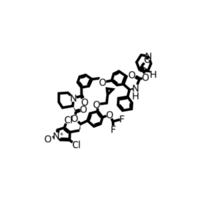 O=C(N[C@@H](c1ccccc1)c1cccc(OCc2cccc(C(=O)N3CCCC[C@H]3C(=O)O[C@@H](Cc3c(Cl)c[n+]([O-])cc3Cl)c3ccc(OC(F)F)c(OCC4CC4)c3)c2)c1)O[C@H]1CN2CCC1CC2